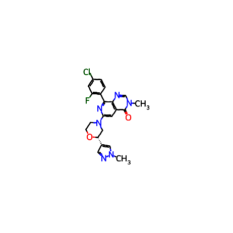 Cn1cc([C@H]2CN(c3cc4c(=O)n(C)cnc4c(-c4ccc(Cl)cc4F)n3)CCO2)cn1